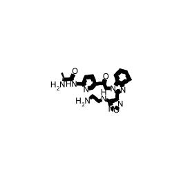 C[C@H](N)C(=O)Nc1ccc(C(=O)Cn2c(-c3nonc3NCCN)nc3ccccc32)cn1